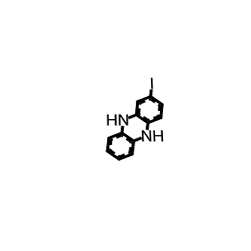 Ic1ccc2c(c1)Nc1ccccc1N2